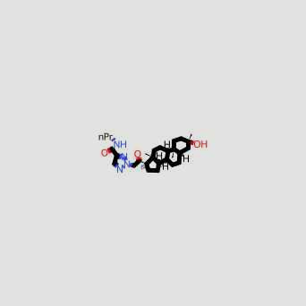 CCCNC(=O)c1cnn(CC(=O)[C@H]2CC[C@H]3[C@@H]4CC[C@@H]5C[C@](C)(O)CC[C@]5(C)[C@H]4CC[C@]23C)n1